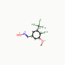 COc1cc(/C=N/O)cc(C(F)(F)F)c1F